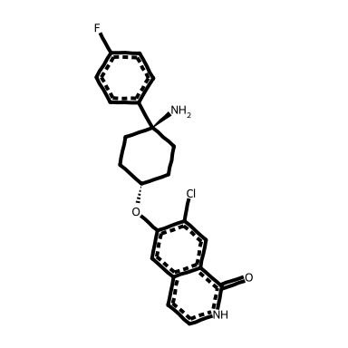 N[C@]1(c2ccc(F)cc2)CC[C@@H](Oc2cc3cc[nH]c(=O)c3cc2Cl)CC1